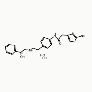 Cl.Cl.Nc1nc(CC(=O)Nc2ccc(CCNC[C@H](O)c3ccccc3)cc2)cs1